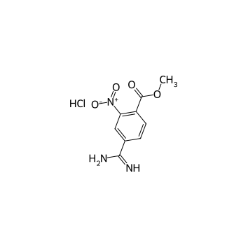 COC(=O)c1ccc(C(=N)N)cc1[N+](=O)[O-].Cl